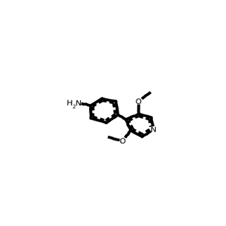 COc1cncc(OC)c1-c1ccc(N)cc1